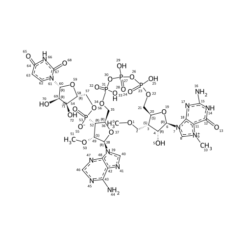 COC[C@H]1[C@@H](O)[C@H](n2c[n+](C)c3c(=O)[nH]c(N)nc32)O[C@@H]1COP(=O)(O)OP(=O)(O)OP(=O)(O)OC[C@H]1O[C@@H](n2cnc3c(N)ncnc32)[C@H](OC)[C@@H]1P(=O)([O-])OC[C@H]1O[C@@H](n2ccc(=O)[nH]c2=O)[C@H](O)[C@@H]1O